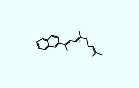 CC(C)=CCC/C(C)=C/C=C(C)c1ccc2ccccc2c1